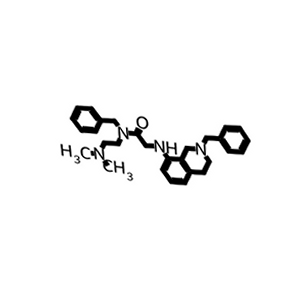 CN(C)CCN(Cc1ccccc1)C(=O)CNc1cccc2c1CN(Cc1ccccc1)CC2